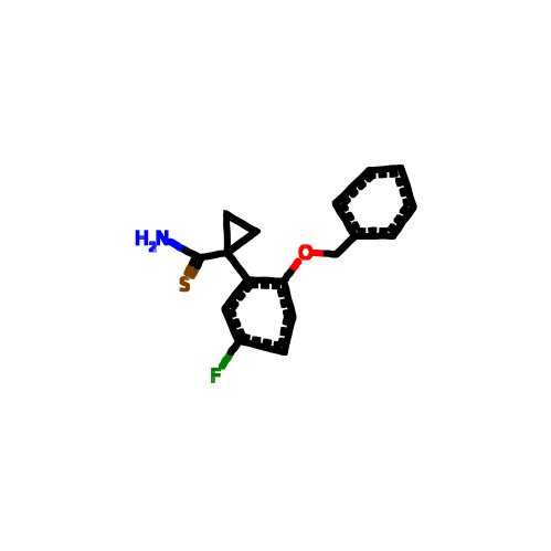 NC(=S)C1(c2cc(F)ccc2OCc2ccccc2)CC1